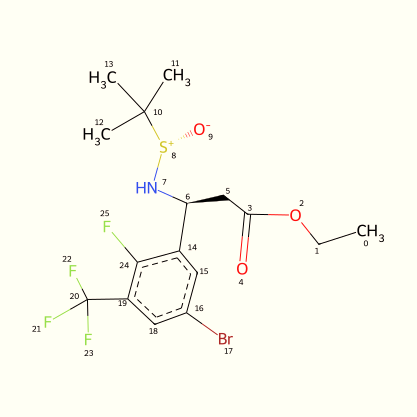 CCOC(=O)C[C@H](N[S@@+]([O-])C(C)(C)C)c1cc(Br)cc(C(F)(F)F)c1F